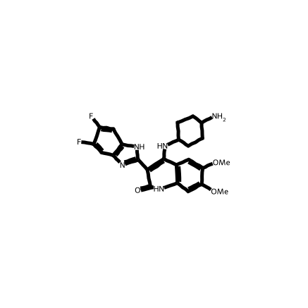 COc1cc2[nH]c(=O)c(-c3nc4cc(F)c(F)cc4[nH]3)c(NC3CCC(N)CC3)c2cc1OC